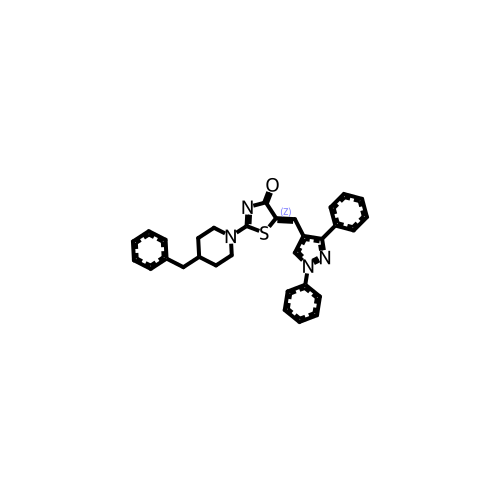 O=C1N=C(N2CCC(Cc3ccccc3)CC2)S/C1=C\c1cn(-c2ccccc2)nc1-c1ccccc1